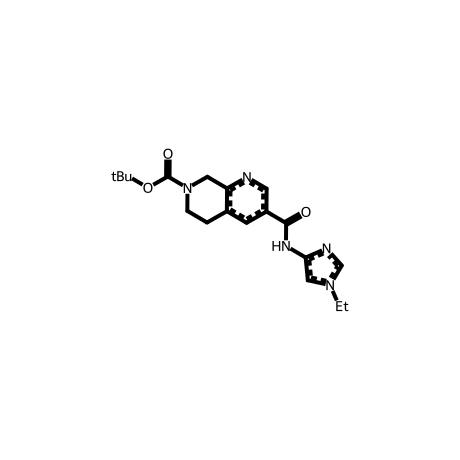 CCn1cnc(NC(=O)c2cnc3c(c2)CCN(C(=O)OC(C)(C)C)C3)c1